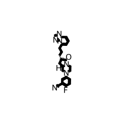 N#Cc1cc(N2CCN3C(=O)[C@@H](CCCc4cccc5ncnn45)C[C@H]3C2)ccc1F